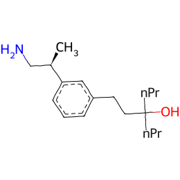 CCCC(O)(CCC)CCc1cccc([C@H](C)CN)c1